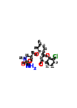 Cc1ccc(-c2cc(=O)c3cccc(Cl)c3o2)c(OCCCN(C)S(N)(=O)=O)c1